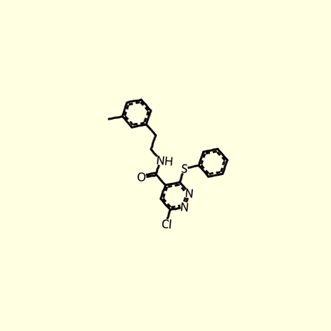 Cc1cccc(CCNC(=O)c2cc(Cl)nnc2Sc2ccccc2)c1